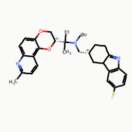 CCC(C)N(C[C@@H]1CCC2=Nc3ccc(F)cc3C2C1)C(C)(CC)[C@H]1COc2ccc3nc(C)ccc3c2O1